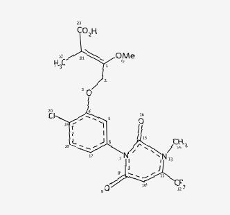 COC(COc1cc(-n2c(=O)cc(C(F)(F)F)n(C)c2=O)ccc1Cl)=C(C)C(=O)O